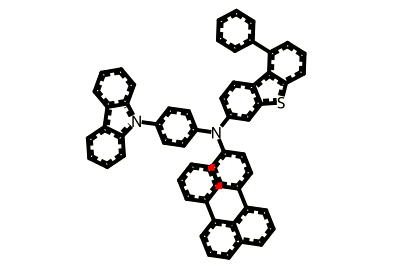 c1ccc(-c2cccc3cccc(-c4ccc(N(c5ccc(-n6c7ccccc7c7ccccc76)cc5)c5ccc6c(c5)sc5cccc(-c7ccccc7)c56)cc4)c23)cc1